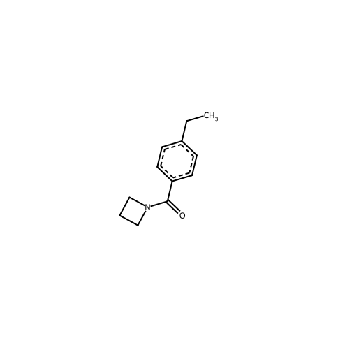 CCc1ccc(C(=O)N2CCC2)cc1